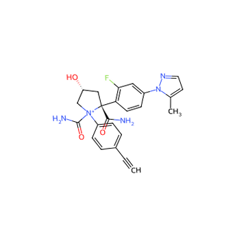 C#Cc1ccc([N+]2(C(N)=O)C[C@H](O)C[C@]2(C(N)=O)c2ccc(-n3nccc3C)cc2F)cc1